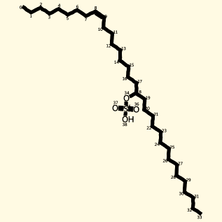 CCCCCCCC/C=C\CCCCCCCCC(CCCCCCCCCCCCCCC)OS(=O)(=O)O